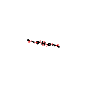 C=CC(=O)OCCCCOc1ccc(C(=O)OC2CO[C@@H]3[C@@H](OC(=O)c4ccc(OCCCCOC(=O)C=C)cc4)CO[C@H]23)cc1